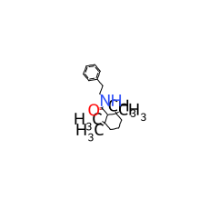 CC1(C)CCCC(C)(C)C1C(=O)NCCc1ccccc1